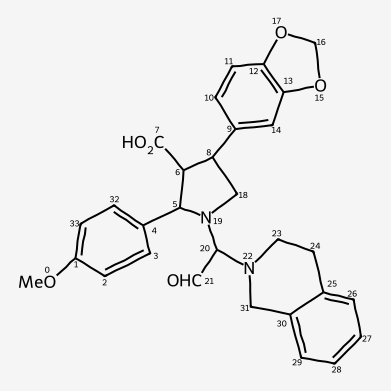 COc1ccc(C2C(C(=O)O)C(c3ccc4c(c3)OCO4)CN2C(C=O)N2CCc3ccccc3C2)cc1